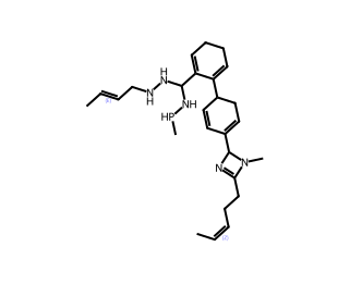 C/C=C\CCC1=NC(C2=CCC(C3=CCCC=C3C(NNC/C=C/C)NPC)C=C2)N1C